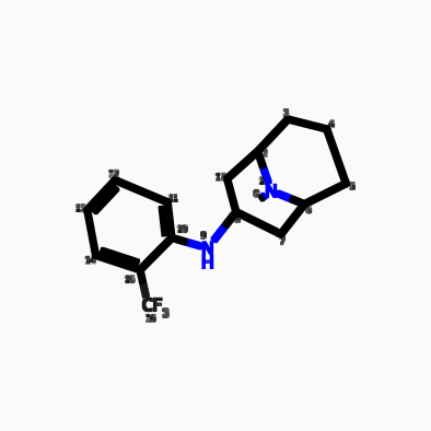 CN1C2CCCC1CC(Nc1ccccc1C(F)(F)F)C2